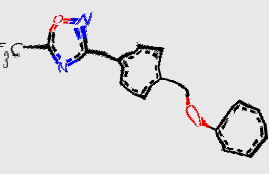 FC(F)(F)c1nc(-c2ccc(COc3ccccc3)cc2)no1